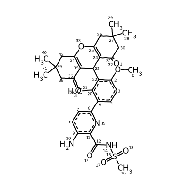 COc1ccc(-c2ccc(N)c(C(=O)NS(C)(=O)=O)n2)c(C)c1C1C2=C(CC(C)(C)CC2=O)OC2=C1C(=O)CC(C)(C)C2